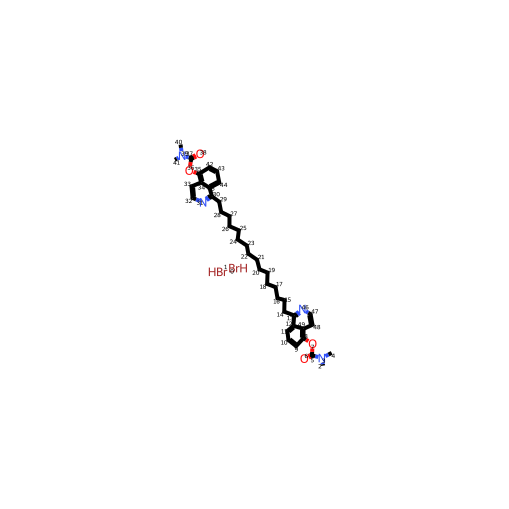 Br.Br.CN(C)C(=O)Oc1cccc2c(CCCCCCCCCCCCCCCCc3nccc4c(OC(=O)N(C)C)cccc34)nccc12